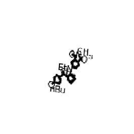 C=C(c1ccc(OCCCC)cc1)c1ccccc1N(CC)c1ccc2c(c1)C(=O)N(C)C2=O